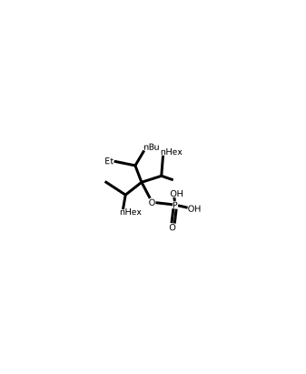 CCCCCCC(C)C(OP(=O)(O)O)(C(C)CCCCCC)C(CC)CCCC